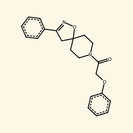 O=C(COc1ccccc1)N1CCC2(CC1)CC(c1ccccc1)=NO2